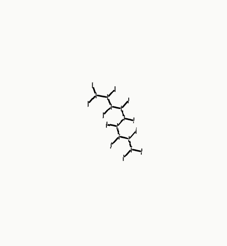 II(I)I(I)I(I)I(I)I(I)I(I)I(I)I(I)I(I)I